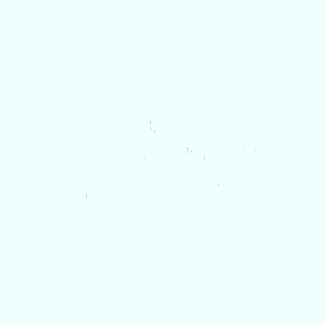 Cc1cc(C)c(-c2ccoc2C(=O)NC2CCN(CCC3(C(C)C(=O)O)CCCCC3)CC2)c(C)c1